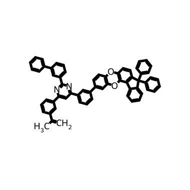 C=C(C)c1cccc(-c2cc(-c3cccc(-c4ccc5c(c4)Oc4c(ccc6c4-c4ccccc4C6(c4ccccc4)c4ccccc4)O5)c3)nc(-c3cccc(-c4ccccc4)c3)n2)c1